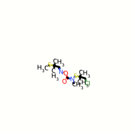 CSC(C)(C)/C=N/OC(=O)N(C)SC(C)(C)CCl